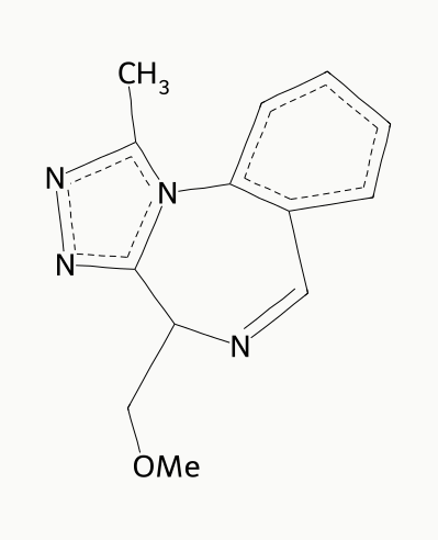 COCC1N=Cc2ccccc2-n2c(C)nnc21